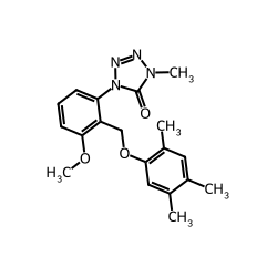 COc1cccc(-n2nnn(C)c2=O)c1COc1cc(C)c(C)cc1C